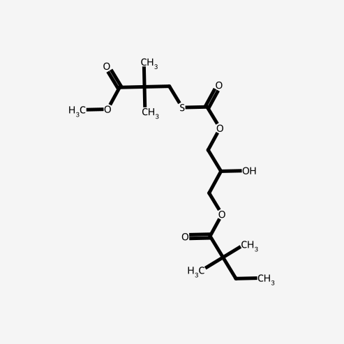 CCC(C)(C)C(=O)OCC(O)COC(=O)SCC(C)(C)C(=O)OC